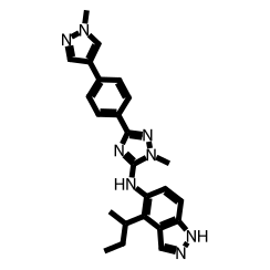 CCC(C)c1c(Nc2nc(-c3ccc(-c4cnn(C)c4)cc3)nn2C)ccc2[nH]ncc12